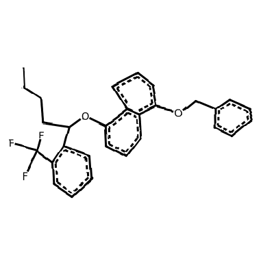 C[CH]CCC(Oc1cccc2c(OCc3ccccc3)cccc12)c1ccccc1C(F)(F)F